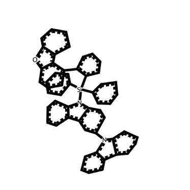 c1ccc([Si](c2ccccc2)(c2ccccc2-c2cccc3oc4ccccc4c23)n2c3ccccc3c3cc(-n4c5ccccc5c5ccccc54)ccc32)cc1